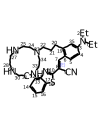 CCN(CC)c1ccc(/C=C(\C#N)c2nc3ccccc3s2)c(CCCN2CCNCCNCCNCC2)c1